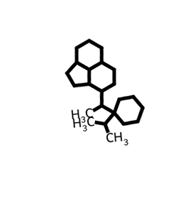 CC(C)C1(C(C)C2CCC3CCCC4CCC2C43)CCCCC1